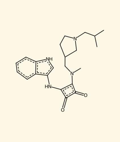 CC(C)CN1CCC(CN(C)c2c(Nc3c[nH]c4ccccc34)c(=O)c2=O)C1